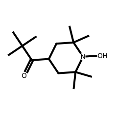 CC(C)(C)C(=O)C1CC(C)(C)N(O)C(C)(C)C1